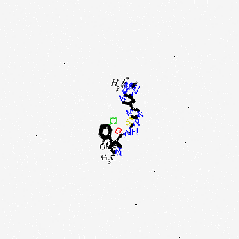 COc1ccc(Cl)cc1-c1cc(C)ncc1C(=O)Nc1nc2ncc(-c3cnc4c(c3)ncn4C)nc2s1